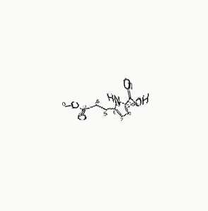 COC(=O)CCc1ccc(C(=O)O)[nH]1